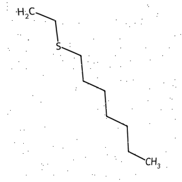 [CH2]CSCCCCCCC